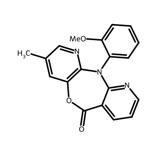 COc1ccccc1N1c2ncc(C)cc2OC(=O)c2cccnc21